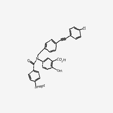 CCCCCCCc1ccc(C(=O)N(Cc2ccc(C#Cc3ccc(Cl)cc3)cc2)c2ccc(O)c(C(=O)O)c2)cc1